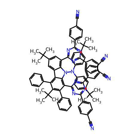 CC(C)(C)c1ccc(N(c2ccc(C(C)(C)C)cc2)n2c3c(-c4nc(-c5ccc(C#N)cc5)nc(-c5ccc(C#N)cc5)n4)cc(C(C)(C)C)cc3c3c(-c4ccccc4)c(C(C)(C)C)c(-c4ccccc4)c(-c4nc(-c5ccc(C#N)cc5)nc(-c5ccc(C#N)cc5)n4)c32)cc1